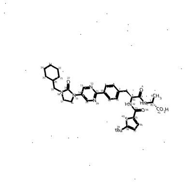 C[C@@H](NC(=O)[C@H](Cc1ccc(-c2ncc(N3CCN(CC4CCCCC4)C3=O)cn2)cc1)NC(=O)c1ccc(C(C)(C)C)s1)C(=O)O